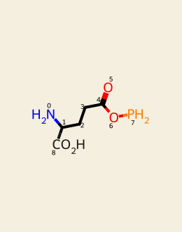 NC(CCC(=O)OP)C(=O)O